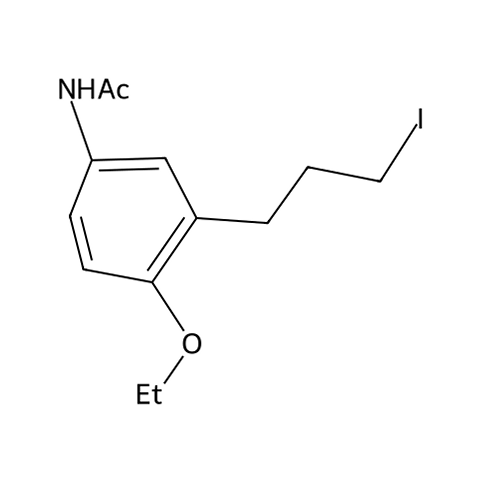 CCOc1ccc(NC(C)=O)cc1CCCI